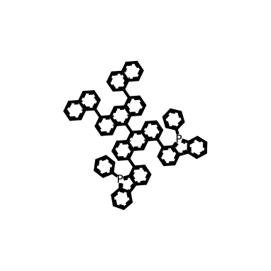 c1ccc(-p2c3ccccc3c3cccc(-c4cccc5c(-c6c7cccc(-c8cccc9ccccc89)c7cc7c(-c8cccc9ccccc89)cccc67)c6cccc(-c7cccc8c9ccccc9p(-c9ccccc9)c78)c6cc45)c32)cc1